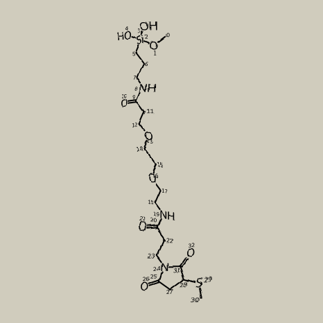 CO[Si](O)(O)CCCNC(=O)CCOCCOCCNC(=O)CCN1C(=O)CC(SC)C1=O